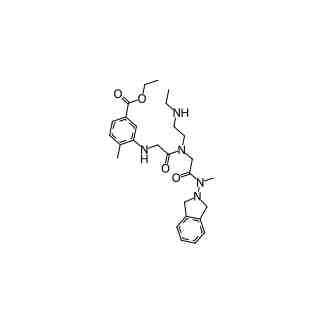 CCNCCN(CC(=O)N(C)N1Cc2ccccc2C1)C(=O)CNc1cc(C(=O)OCC)ccc1C